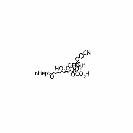 CCCCCCCC(=O)CCCCCC/C=C/[C@H](C(=O)N[C@@H](Cc1ccc(Oc2ccc(C#N)cc2)cc1)C(=O)O)[C@@](O)(CC(=O)O)C(=O)O